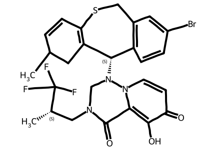 CC1C=CC2=C(C1)[C@@H](N1CN(C[C@H](C)C(F)(F)F)C(=O)c3c(O)c(=O)ccn31)c1ccc(Br)cc1CS2